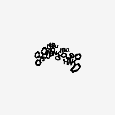 CCC(C)[C@H](NCC1CC(SC(c2ccccc2)(c2ccccc2)c2ccccc2)CN1C(=O)OC(C)(C)C)C(=O)OCC(=O)NC(c1ccccc1)c1ccccc1